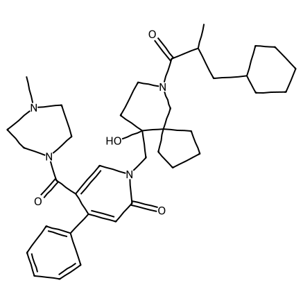 CC(CC1CCCCC1)C(=O)N1CCC(O)(Cn2cc(C(=O)N3CCN(C)CC3)c(-c3ccccc3)cc2=O)C2(CCCC2)C1